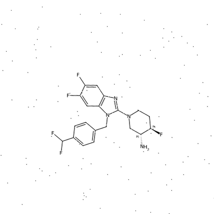 N[C@@H]1CN(c2nc3cc(F)c(F)cc3n2Cc2ccc(C(F)F)cc2)CC[C@H]1F